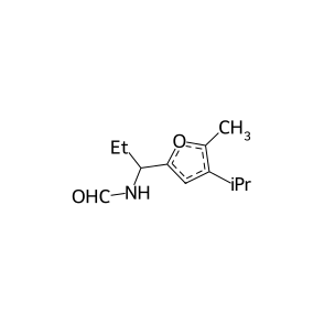 CCC(NC=O)c1cc(C(C)C)c(C)o1